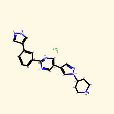 Cl.c1cc(-c2cn[nH]c2)cc(-c2ncc(-c3cnn(C4CCNCC4)c3)cn2)c1